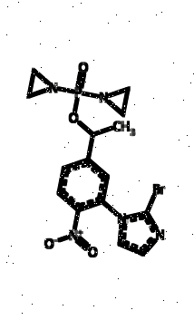 CC(OP(=O)(N1CC1)N1CC1)c1ccc([N+](=O)[O-])c(-n2ccnc2Br)c1